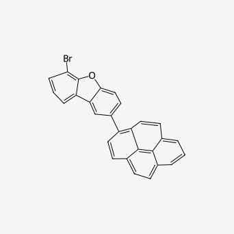 Brc1cccc2c1oc1ccc(-c3ccc4ccc5cccc6ccc3c4c56)cc12